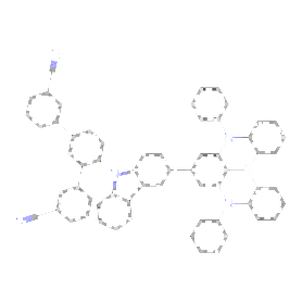 N#Cc1cccc(-c2ccc(-n3c4ccccc4c4cc(-c5cc6c7c(c5)N(c5ccccc5)c5ccccc5B7c5ccccc5N6c5ccccc5)ccc43)c(-c3cccc(C#N)c3)c2)c1